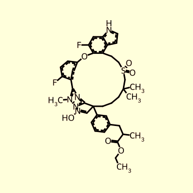 CCOC(=O)C(C)Cc1cccc(C2(C=NO)CCCC(C)(C)CS(=O)(=O)CCc3c(c(F)cc4[nH]ccc34)Oc3ccc(F)c(c3)-c3nc2nn3C)c1